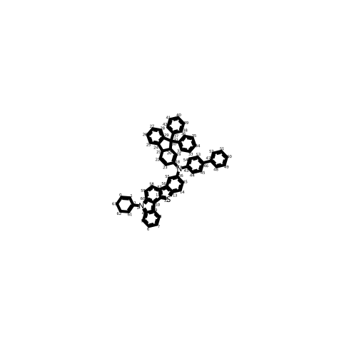 C1=CC(n2c3ccccc3c3c4sc5ccc(N(C6=CC7C(C=C6)c6ccccc6C7(c6ccccc6)c6ccccc6)c6ccc(-c7ccccc7)cc6)cc5c4ccc32)=CCC1